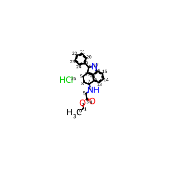 CCOC(=O)CNC1CCC2=c3c1cccc3=NC2c1ccccc1.Cl